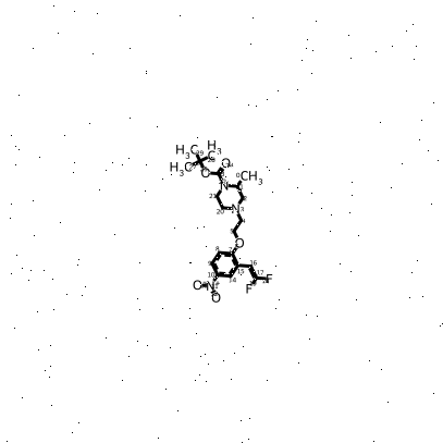 CC1CN(CCOc2ccc([N+](=O)[O-])cc2C=C(F)F)CCN1C(=O)OC(C)(C)C